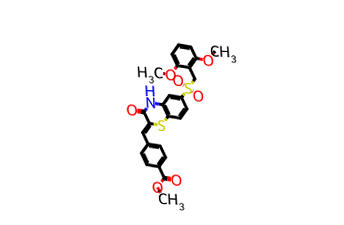 COC(=O)c1ccc(C=C2Sc3ccc(S(=O)(=O)Cc4c(OC)cccc4OC)cc3NC2=O)cc1